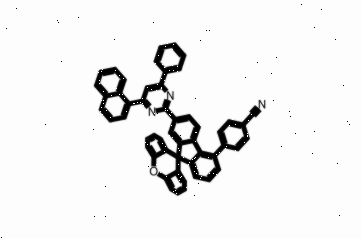 N#Cc1ccc(-c2cccc3c2-c2ccc(-c4nc(-c5ccccc5)cc(-c5cccc6ccccc56)n4)cc2C32c3ccccc3Oc3ccccc32)cc1